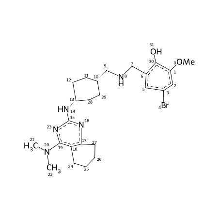 COc1cc(Br)cc(CNC[C@H]2CC[C@@H](Nc3nc4c(c(N(C)C)n3)CCCC4)CC2)c1O